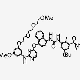 COCCOCCOCCOc1cc(Nc2nccc(Oc3ccc(NC(=O)Nc4cc(C(C)(C)C)cc(C(=O)N(C)C)c4C)c4ccccc34)n2)cc(OC)c1